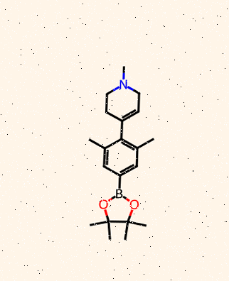 Cc1cc(B2OC(C)(C)C(C)(C)O2)cc(C)c1C1=CCN(C)CC1